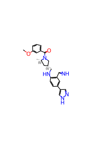 COc1cccc(C(=O)N2C[C@H](CNc3ccc(-c4cn[nH]c4)cc3C=N)C[C@@H]2C)c1